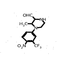 CC1C(C=O)NCCN1c1ccc([N+](=O)[O-])c(C(F)(F)F)c1